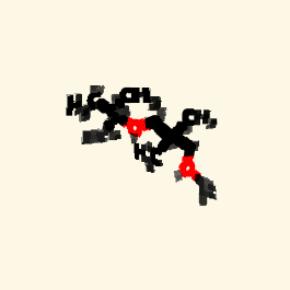 CCOCC(C)(C)CO[Si](C)(C)CC